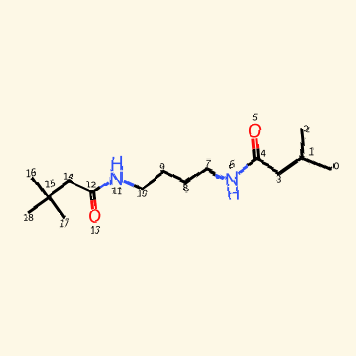 CC(C)CC(=O)NCCCCNC(=O)CC(C)(C)C